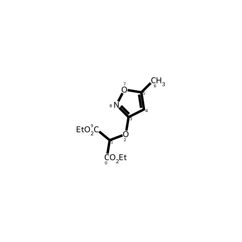 CCOC(=O)C(Oc1cc(C)on1)C(=O)OCC